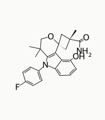 CC1(C)CO[C@]2(C[C@@](C)(C(N)=O)C2)c2c1n(-c1ccc(F)cc1)c1cccc(O)c12